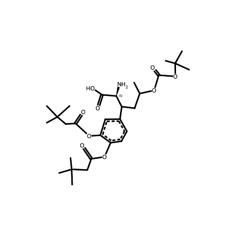 CC(CC(c1ccc(OC(=O)CC(C)(C)C)c(OC(=O)CC(C)(C)C)c1)[C@H](N)C(=O)O)OC(=O)OC(C)(C)C